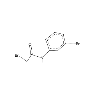 O=C(CBr)Nc1cccc(Br)c1